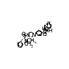 CN(C)[C@H](Cc1ccccc1)C(=O)N1CCN(c2ccc(S(=O)(=O)Nc3ccncn3)cc2)CC1